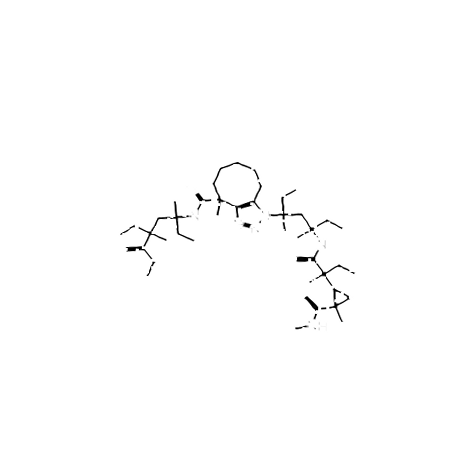 C=C(CC)C(C)(CC)CC(C)(CC)NC(=O)C1(C)CCCCCc2c1nnn2C(C)(CC)CC(C)(CC)NC(=C)C(C)(CC)C1CC1(C)C(=C)NC